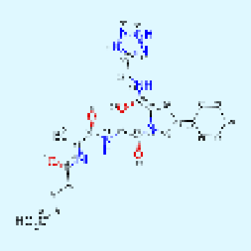 CC[C@H](C)[C@H](NC(=O)CCCC(=O)O)C(=O)NCC(=O)N1C[C@H](C2CCCCC2)CC1C(=O)NCc1nn[nH]n1